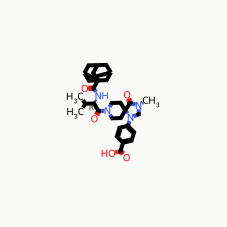 CC(C)[C@@H](NC(=O)C12CC3CC(CC(C3)C1)C2)C(=O)N1CCC2(CC1)C(=O)N(C)CN2c1ccc(C(=O)O)cc1